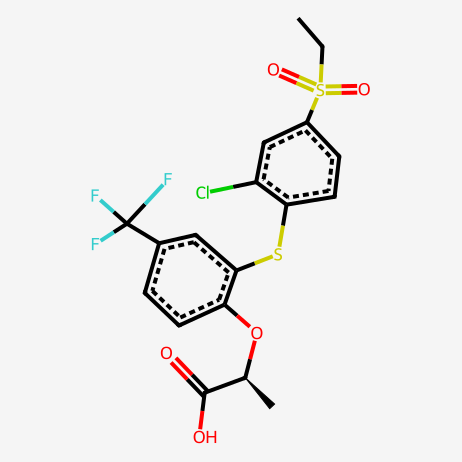 CCS(=O)(=O)c1ccc(Sc2cc(C(F)(F)F)ccc2O[C@@H](C)C(=O)O)c(Cl)c1